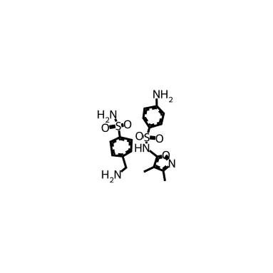 Cc1noc(NS(=O)(=O)c2ccc(N)cc2)c1C.NCc1ccc(S(N)(=O)=O)cc1